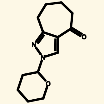 O=C1CCCCc2nn(C3CCCCO3)cc21